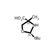 CC(C)(C)[C@@H]1N[C@](C)(C(=O)O)CO1